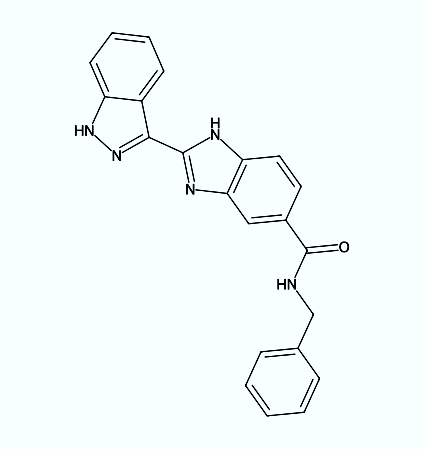 O=C(NCc1ccccc1)c1ccc2[nH]c(-c3n[nH]c4ccccc34)nc2c1